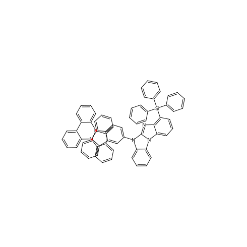 c1ccc([Si](c2ccccc2)(c2ccccc2)c2cccc3c2nc2n(-c4ccc5c(c4)c4ccccc4n5-c4ccccc4-c4ccccc4-n4c5ccccc5c5ccccc54)c4ccccc4n32)cc1